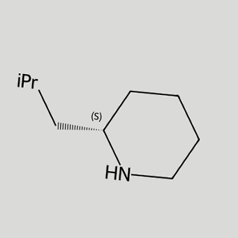 CC(C)C[C@@H]1CCCCN1